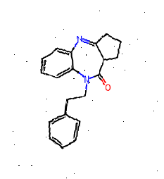 O=C1C2CCCC2=Nc2ccccc2N1CCc1ccccc1